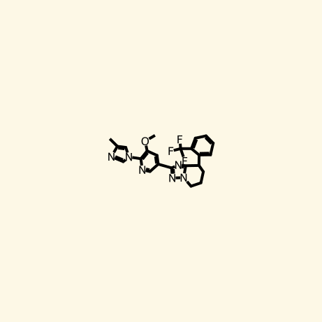 COc1cc(-c2nc3n(n2)CCCC3c2ccccc2C(F)(F)F)cnc1-n1cnc(C)c1